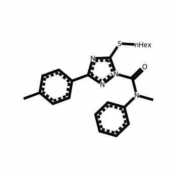 CCCCCCSc1nc(-c2ccc(C)cc2)nn1C(=O)N(C)c1ccccc1